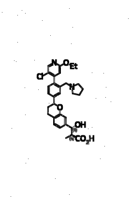 CCOc1cc(-c2ccc(C3CCc4ccc([C@H](O)[C@H](C)C(=O)O)cc4O3)cc2CN2CCCC2)c(Cl)cn1